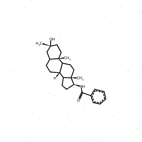 C[C@@]1(O)CC[C@@]2(C)C(CC[C@@H]3C2CC[C@@]2(C)C3CC[C@@H]2NC(=O)c2ccccc2)C1